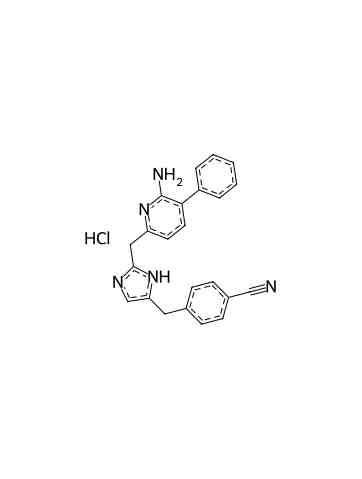 Cl.N#Cc1ccc(Cc2cnc(Cc3ccc(-c4ccccc4)c(N)n3)[nH]2)cc1